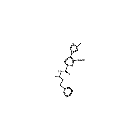 COc1cc(C(=O)NC(C)CCc2ccccc2)ccc1-n1cnc(C)c1